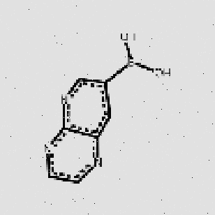 OB(O)c1cnc2nccnc2c1